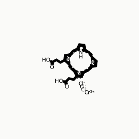 O=C(O)CCC1=Cc2cc3ccc(cc4nc(cc5cc(CCC(=O)O)c(cc1n2)[nH]5)C=C4)[nH]3.[Cl-].[Cl-].[Cl-].[Cr+3]